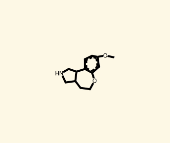 COc1ccc2c(c1)OCCC1CNCC21